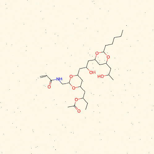 C=CC(=O)NCC1OC(CC(O)CC2CC(CC(C)O)OC(CCCCC)O2)CC(CC(CC)OC(C)=O)O1